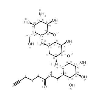 C#CCCCC(=O)NC[C@H]1O[C@H](O[C@H]2[C@H](O)[C@@H](O[C@H]3O[C@H](CO)[C@@H](O)[C@H](N)[C@H]3O)[C@H](N)C[C@@H]2N)[C@H](O)[C@@H](O)[C@@H]1O